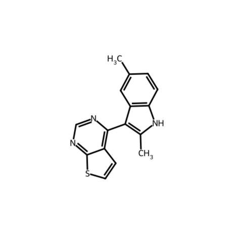 Cc1ccc2[nH]c(C)c(-c3ncnc4sccc34)c2c1